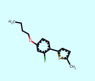 CCCCOc1ccc(-c2ccc(C)s2)c(F)c1